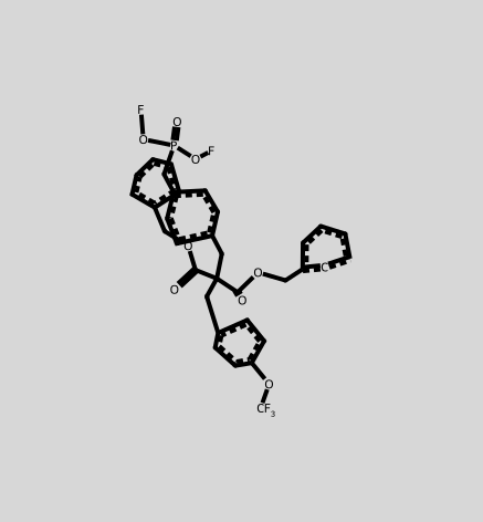 O=C(OCc1ccccc1)C(Cc1ccc(CP(=O)(OF)OF)cc1)(Cc1ccc(OC(F)(F)F)cc1)C(=O)OCc1ccccc1